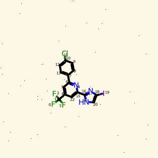 FC(F)(F)c1cc(-c2ccc(Cl)cc2)nc(-c2nc(I)c[nH]2)c1